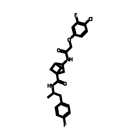 CC(Cc1ccc(F)cc1)NC(=O)C12CC(C1)C(NC(=O)COc1ccc(Cl)c(F)c1)C2